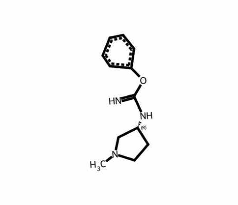 CN1CC[C@@H](NC(=N)Oc2ccccc2)C1